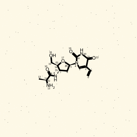 C=Cc1cn([C@H]2C[C@H](NC(=O)[C@H](C)N)[C@@H](CO)O2)c(=O)[nH]c1=O